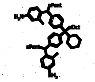 CCCCCCCCC(c1ccc(C(CCCCC)c2ccc(N)cc2C)cc1)(c1ccc(C(CCCCC)c2ccc(N)cc2C)cc1)C1CCCCC1